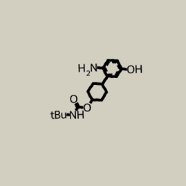 CC(C)(C)NC(=O)OC1CCC(c2cc(O)ccc2N)CC1